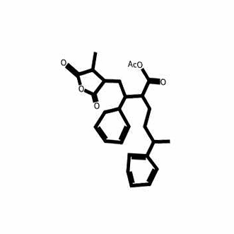 CC(=O)OC(=O)C(CCC(C)c1ccccc1)C(CC1C(=O)OC(=O)C1C)C1C=CC=CC1